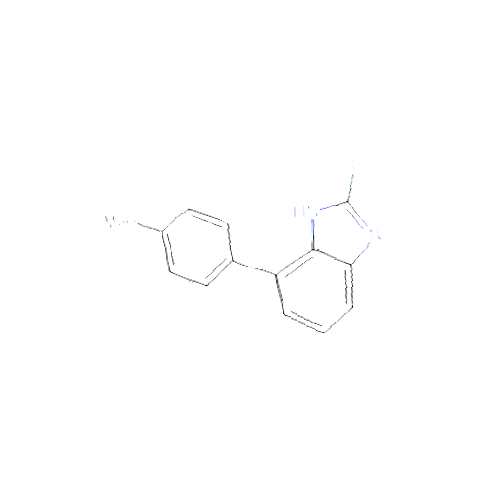 COc1ccc(-c2cccc3nc(Cl)[nH]c23)cc1